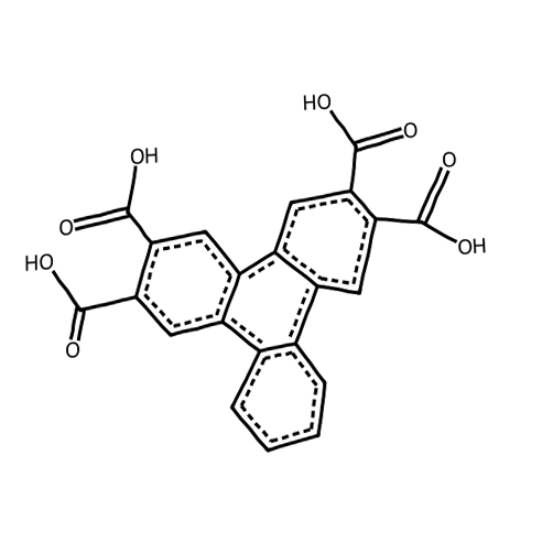 O=C(O)c1cc2c3ccccc3c3cc(C(=O)O)c(C(=O)O)cc3c2cc1C(=O)O